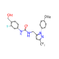 COc1ccc(-n2nc(C(F)(F)F)cc2CNC(=O)Nc2ccc(CO)c(F)c2)cc1